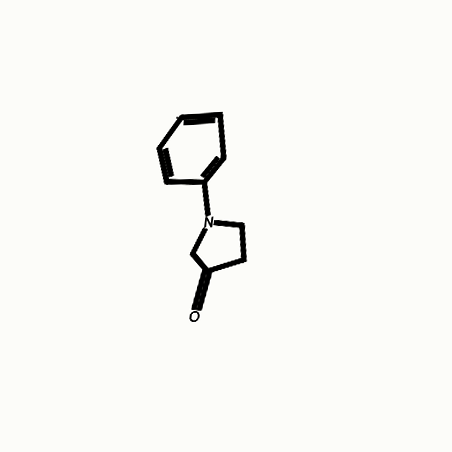 O=C1CCN(c2cc[c]cc2)C1